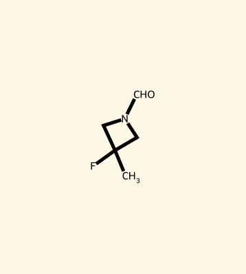 CC1(F)CN(C=O)C1